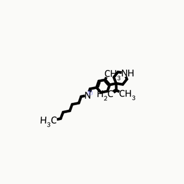 C=C(C)C1(C2=C(C)C=C(/C=N/CCCCCCC)CC2)CCNCC1